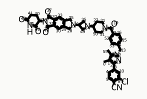 Cc1c(-c2ccc(C#N)c(Cl)c2)nn(Cc2ccc(C(=O)N3CCC(N4CC(N5Cc6cc7c(cc6C5)C(=O)N(C5CCC(=O)NC5=O)C7=O)C4)CC3)cc2)c1C